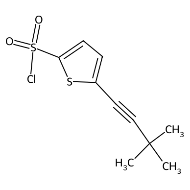 CC(C)(C)C#Cc1ccc(S(=O)(=O)Cl)s1